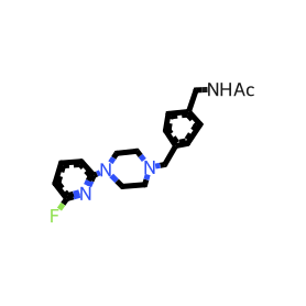 CC(=O)NCc1ccc(CN2CCN(c3cccc(F)n3)CC2)cc1